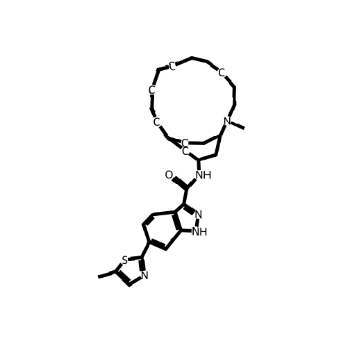 Cc1cnc(-c2ccc3c(C(=O)NC4CC5CCCCCCCCCCN(C)C(CC5)C4)n[nH]c3c2)s1